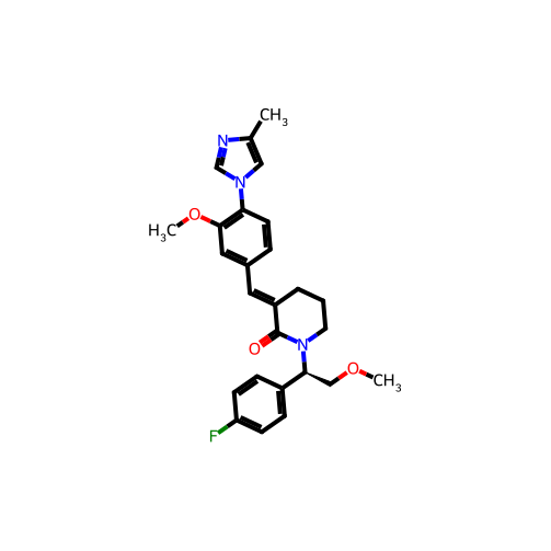 COC[C@@H](c1ccc(F)cc1)N1CCCC(=Cc2ccc(-n3cnc(C)c3)c(OC)c2)C1=O